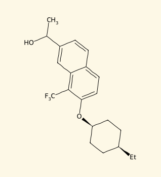 CC[C@H]1CC[C@@H](Oc2ccc3ccc(C(C)O)cc3c2C(F)(F)F)CC1